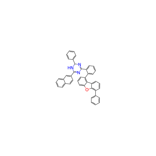 c1ccc(-c2cccc3c2oc2cccc(-c4ccccc4C4=NC(c5ccccc5)NC(c5ccc6ccccc6c5)=N4)c23)cc1